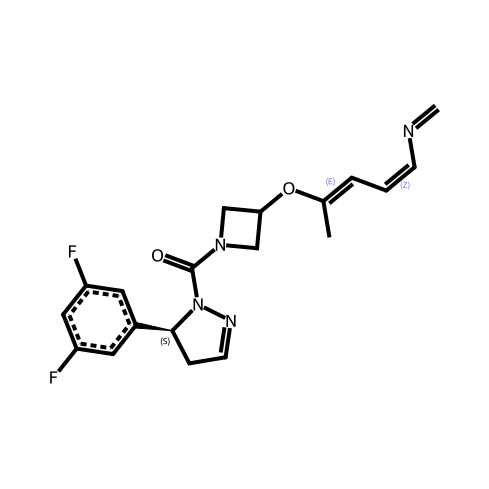 C=N/C=C\C=C(/C)OC1CN(C(=O)N2N=CC[C@H]2c2cc(F)cc(F)c2)C1